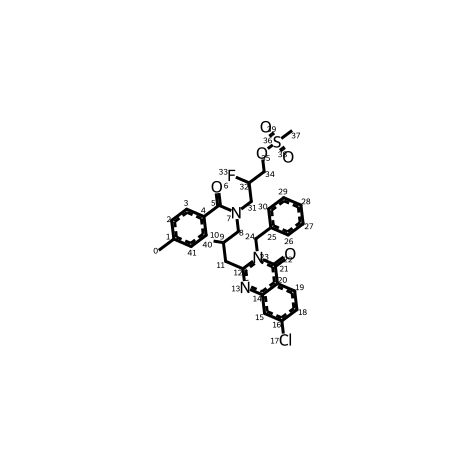 Cc1ccc(C(=O)N(CC(C)Cc2nc3cc(Cl)ccc3c(=O)n2Cc2ccccc2)CC(F)COS(C)(=O)=O)cc1